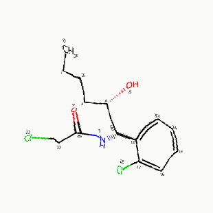 CCCC[C@H](O)[C@@H](NC(=O)CCl)c1ccccc1Cl